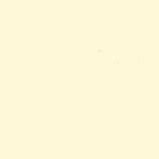 CCC=CCC=CCC=CCC=CCC=CCCCCOC(OC)C(=O)Nc1ccc(O)c(C(=O)O)c1